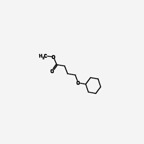 COC(=O)CCCOC1CCCCC1